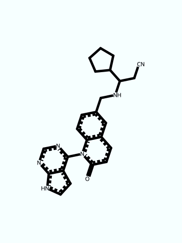 N#CCC(NCc1ccc2c(ccc(=O)n2-c2ncnc3[nH]ccc23)c1)C1CCCC1